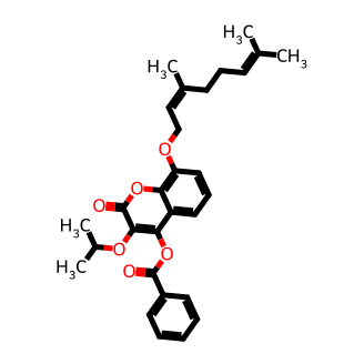 CC(C)=CCCC(C)=CCOc1cccc2c(OC(=O)c3ccccc3)c(OC(C)C)c(=O)oc12